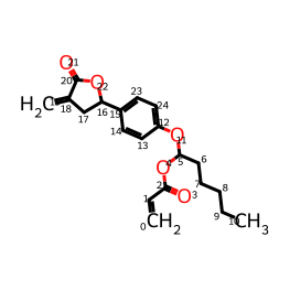 C=CC(=O)OC(CCCCC)Oc1ccc(C2CC(=C)C(=O)O2)cc1